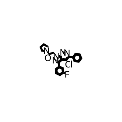 O=C(Cn1nc(-c2cccc(F)c2)c2c(Cl)c(-c3ccccc3)nnc21)N1CCCC1